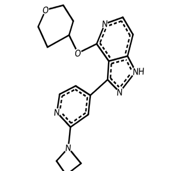 c1cc(-c2n[nH]c3ccnc(OC4CCOCC4)c23)cc(N2CCC2)n1